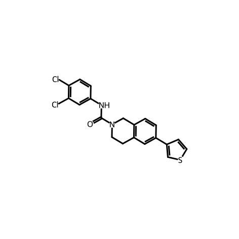 O=C(Nc1ccc(Cl)c(Cl)c1)N1CCc2cc(-c3ccsc3)ccc2C1